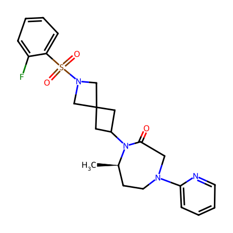 C[C@@H]1CCN(c2ccccn2)CC(=O)N1C1CC2(C1)CN(S(=O)(=O)c1ccccc1F)C2